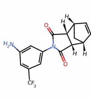 Nc1cc(N2C(=O)[C@@H]3[C@H](C2=O)[C@@H]2C=C[C@H]3C2)cc(C(F)(F)F)c1